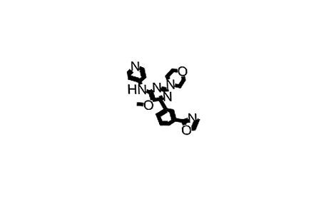 COc1c(Nc2ccncc2)nc(N2CCOCC2)nc1-c1cccc(-c2ncco2)c1